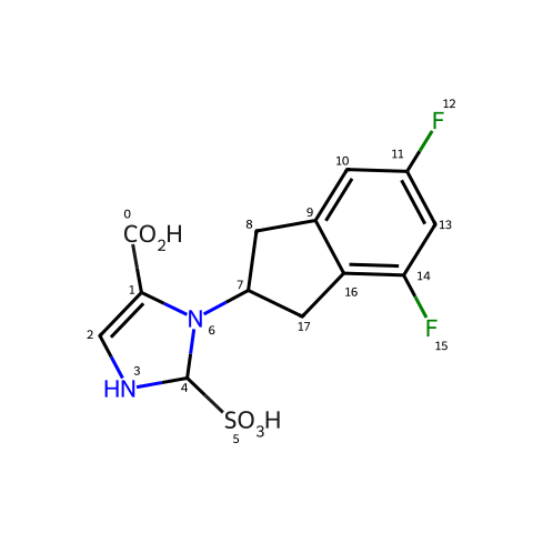 O=C(O)C1=CNC(S(=O)(=O)O)N1C1Cc2cc(F)cc(F)c2C1